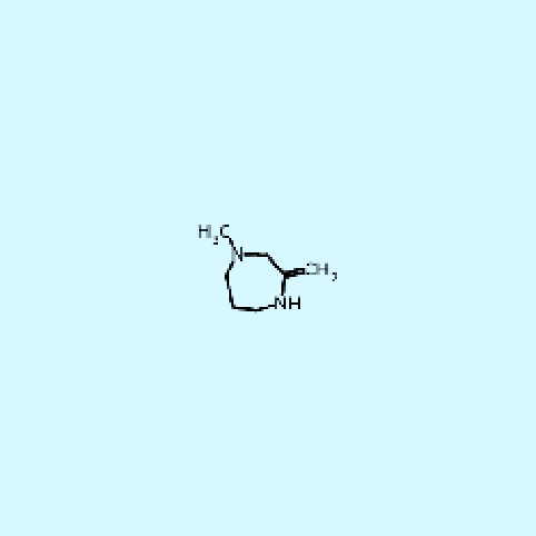 C=C1CN(C)CCCN1